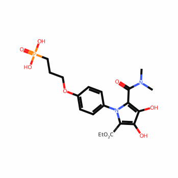 CCOC(=O)c1c(O)c(O)c(C(=O)N(C)C)n1-c1ccc(OCCCP(=O)(O)O)cc1